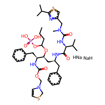 CCCC(O[C@@H](C[C@H](Cc1ccccc1)NC(=O)[C@@H](NC(=O)N(C)Cc1csc(C(C)C)n1)C(C)C)[C@H](Cc1ccccc1)NC(=O)OCN1C=CSC1)OP(=O)(O)O.[NaH].[NaH]